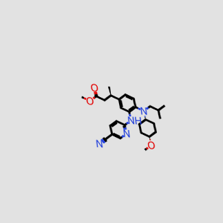 COC(=O)C[C@@H](C)c1ccc(N(CC(C)C)[C@H]2CC[C@@H](OC)CC2)c(Nc2ccc(C#N)cn2)c1